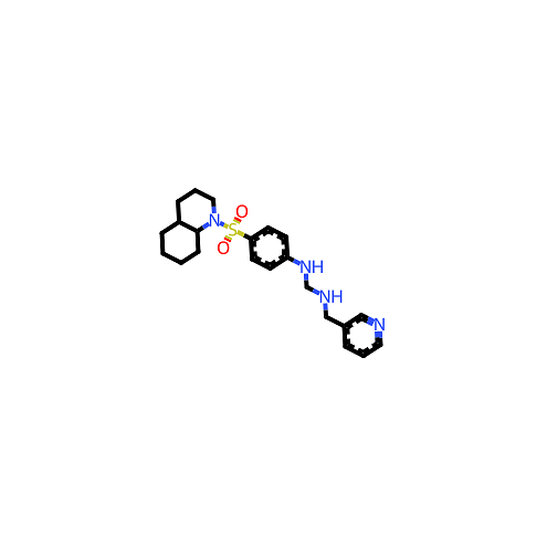 O=S(=O)(c1ccc(NCNCc2cccnc2)cc1)N1CCCC2CCCCC21